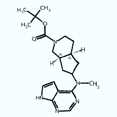 CN(c1ncnc2[nH]ccc12)C1C[C@@H]2CCN(C(=O)OC(C)(C)C)C[C@@H]2C1